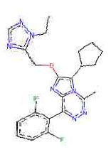 CCn1ncnc1COc1nc2c(-c3c(F)cccc3F)nnc(C)n2c1C1CCCC1